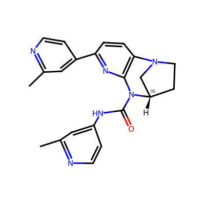 Cc1cc(NC(=O)N2c3nc(-c4ccnc(C)c4)ccc3N3CC[C@H]2C3)ccn1